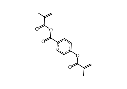 C=C(C)C(=O)OC(=O)c1ccc(OC(=O)C(=C)C)cc1